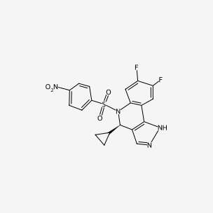 O=[N+]([O-])c1ccc(S(=O)(=O)N2c3cc(F)c(F)cc3-c3[nH]ncc3[C@H]2C2CC2)cc1